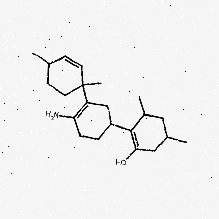 CC1C=CC(C)(C2=C(N)CCC(C3=C(O)CC(C)CC3C)C2)CC1